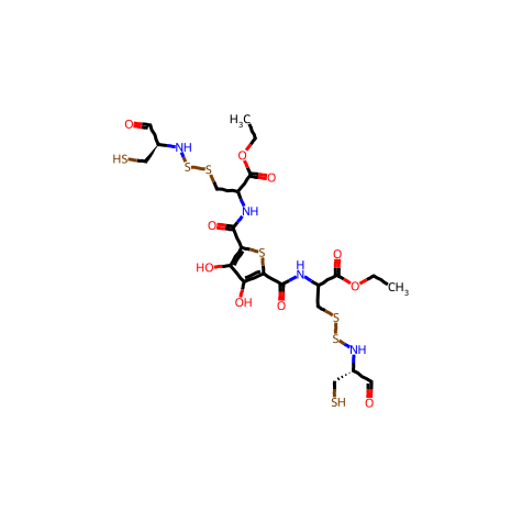 CCOC(=O)C(CSSN[C@H](C=O)CS)NC(=O)c1sc(C(=O)NC(CSSN[C@H](C=O)CS)C(=O)OCC)c(O)c1O